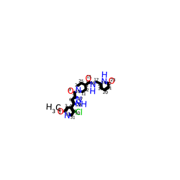 COc1cc(-c2cc(C(=O)N3CCC(C(=O)NCc4cccc(=O)[nH]4)CC3)n[nH]2)c(Cl)cn1